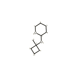 [CH2]C1(OC2CCCCO2)CCC1